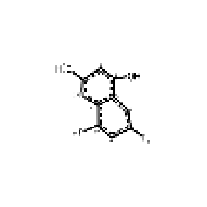 Cc1cc(O)c2cc(F)cc(F)c2n1